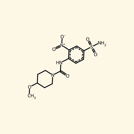 COC1CCN(C(=O)Nc2ccc(S(N)(=O)=O)cc2[N+](=O)[O-])CC1